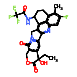 CCC1(O)C(=O)OCc2c1cc1n(c2=O)Cc2c-1nc1cc(F)c(C)c3c1c2C(NC(=O)C(F)(F)F)CC3